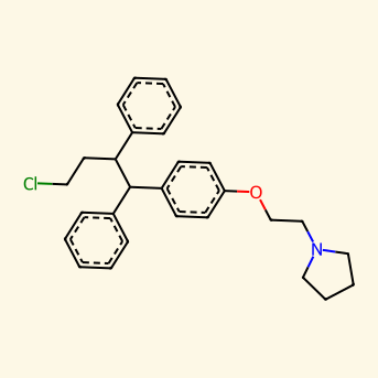 ClCCC(c1ccccc1)C(c1ccccc1)c1ccc(OCCN2CCCC2)cc1